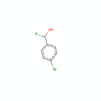 OC(F)c1ccc(Br)cc1